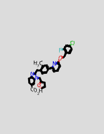 Cc1cc(-c2cccc(OCc3ccc(Cl)cc3F)n2)ccc1Cc1nc2ccc(C(=O)O)cc2n1CC1CCCO1